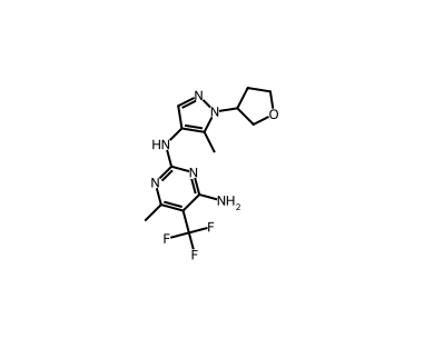 Cc1nc(Nc2cnn(C3CCOC3)c2C)nc(N)c1C(F)(F)F